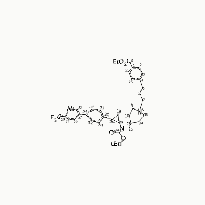 CCOC(=O)c1ccc(CCCN2CCC(CN(C(=O)OC(C)(C)C)C3CC3c3ccc(-c4ccc(C(F)(F)F)nc4)cc3)CC2)cc1